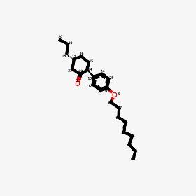 CCCCCCCCCOc1ccc([C@@H]2CC[C@@H](CCC)CC2=O)cc1